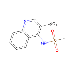 CS(=O)(=O)Nc1c([N+](=O)[O-])cnc2ccccc12